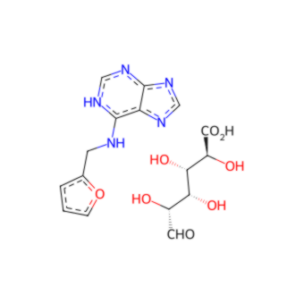 O=C[C@H](O)[C@@H](O)[C@H](O)[C@H](O)C(=O)O.c1coc(CNc2[nH]cnc3ncnc2-3)c1